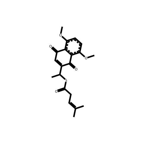 COc1ccc(OC)c2c1C(=O)C=C(C(C)SC(=O)CC=C(C)C)C2=O